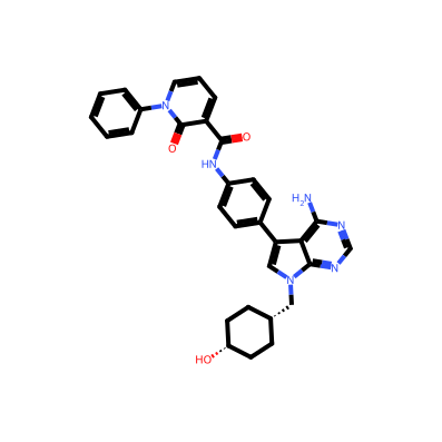 Nc1ncnc2c1c(-c1ccc(NC(=O)c3cccn(-c4ccccc4)c3=O)cc1)cn2C[C@H]1CC[C@@H](O)CC1